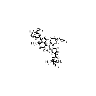 CCN1CCC[C@@H](Cc2c(C)cc(C)c3c2ccn3C(=O)OC(C)(C)C)[C@H](c2ccc(C(=O)OC(C)(C)C)cc2)C1